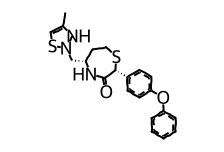 CC1=CSN(C[C@@H]2CCS[C@H](c3ccc(Oc4ccccc4)cc3)C(=O)N2)N1